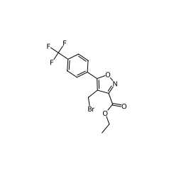 CCOC(=O)c1noc(-c2ccc(C(F)(F)F)cc2)c1CBr